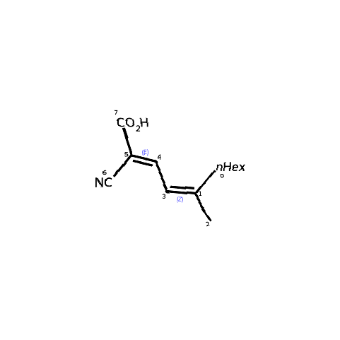 CCCCCC/C(C)=C\C=C(/C#N)C(=O)O